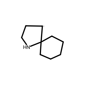 [CH]1CCNC12CCCCC2